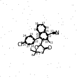 CC(=O)C(OC(C)(C)C)c1c(C)c(C#N)c2ccccc2c1-c1ccc(Cl)cc1